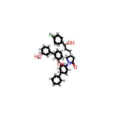 O=C1C[C@H](CC[C@H](O)c2ccc(F)cc2)[C@@H](c2ccc(-c3cccc(O)c3)cc2O)N1c1ccc(-c2ccccc2)cc1